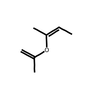 C=C(C)O/C(C)=C\C